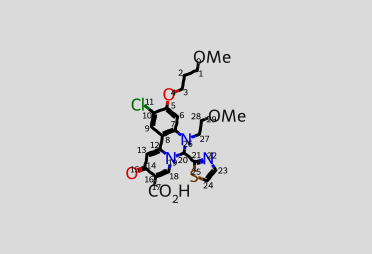 COCCCOc1cc2c(cc1Cl)-c1cc(=O)c(C(=O)O)cn1C(c1nccs1)N2CCOC